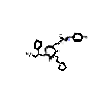 CCC(CN1CC[C@@H](CNC(=O)/C=C/c2ccc(Cl)cc2)N[C@@H](CCN2CCCC2)C1=O)c1ccccc1